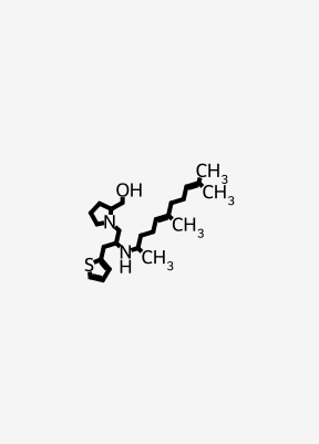 CC(C)=CCC/C(C)=C/CCC(C)NC(Cc1cccs1)CN1CCCC1CO